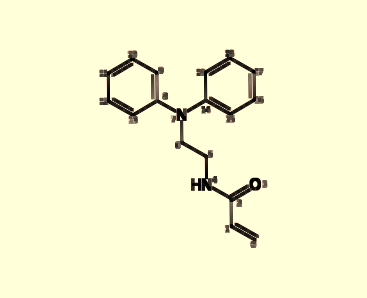 C=CC(=O)NCCN(c1ccccc1)c1ccccc1